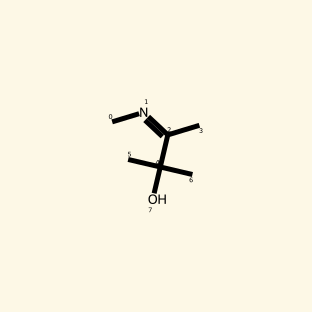 CN=C(C)C(C)(C)O